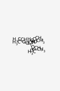 CCC(C)(C)C(=O)OCC(O)(COCOCC(C)(C)C)CC(=O)OC(C)(C)C